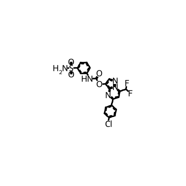 NS(=O)(=O)c1cccc(NC(=O)Oc2cnn3c(C(F)F)cc(-c4ccc(Cl)cc4)nc23)c1